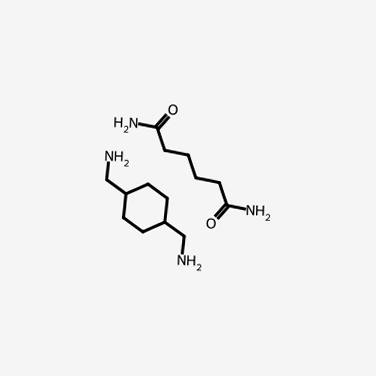 NC(=O)CCCCC(N)=O.NCC1CCC(CN)CC1